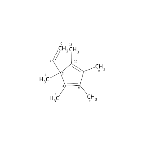 C=CC1(C)C(C)=C(C)C(C)=C1C